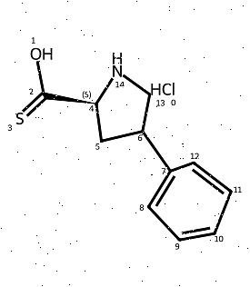 Cl.OC(=S)[C@@H]1CC(c2ccccc2)CN1